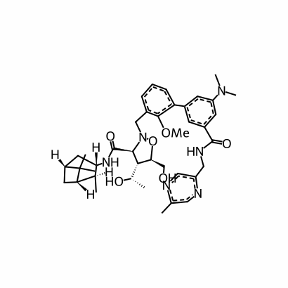 COc1c(CN2O[C@@H](CO)[C@H]([C@H](C)O)[C@H]2C(=O)N[C@H]2C[C@H]3C[C@@H]([C@@H]2C)C3(C)C)cccc1-c1cc(C(=O)NCc2cnc(C)cn2)cc(N(C)C)c1